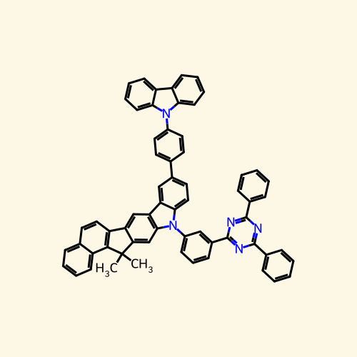 CC1(C)c2cc3c(cc2-c2ccc4ccccc4c21)c1cc(-c2ccc(-n4c5ccccc5c5ccccc54)cc2)ccc1n3-c1cccc(-c2nc(-c3ccccc3)nc(-c3ccccc3)n2)c1